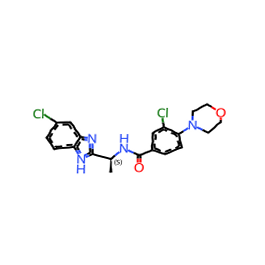 C[C@H](NC(=O)c1ccc(N2CCOCC2)c(Cl)c1)c1nc2cc(Cl)ccc2[nH]1